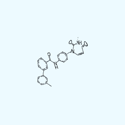 CNC(=O)N(/C=C\C=O)c1ccc(NC(=O)c2cccc(-c3cccc(C)c3)c2)cc1